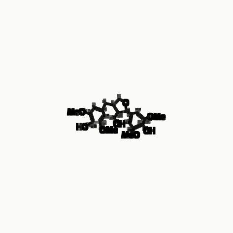 COc1cc(CC2COC(c3cc(OC)c(O)c(OC)c3)C2CO)cc(OC)c1O